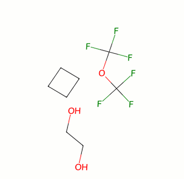 C1CCC1.FC(F)(F)OC(F)(F)F.OCCO